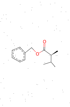 CC(C)[C@H](C)C(=O)OCc1ccccc1